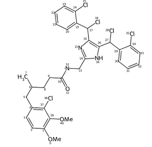 COc1ccc(CC(C)CCC(=O)[N]Cc2nc(C(Cl)c3ccccc3Cl)c(C(Cl)c3ccccc3Cl)[nH]2)c(Cl)c1OC